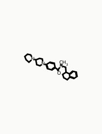 CN(CC1CCCc2ccccc21)C(=O)c1ccc(N2CCC(N3CCCCC3)CC2)cc1